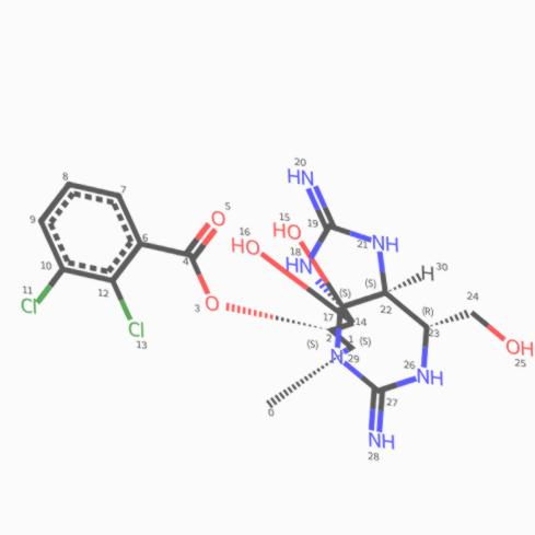 C[C@H]1[C@H](OC(=O)c2cccc(Cl)c2Cl)C(O)(O)[C@]23NC(=N)N[C@H]2[C@H](CO)NC(=N)N13